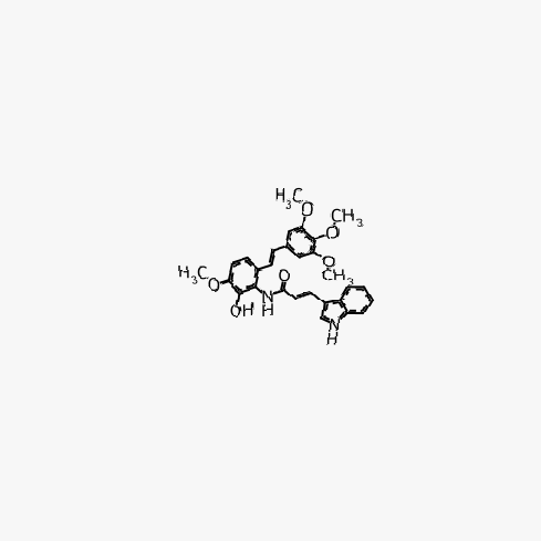 COc1ccc(/C=C/c2cc(OC)c(OC)c(OC)c2)c(NC(=O)/C=C/c2c[nH]c3ccccc23)c1O